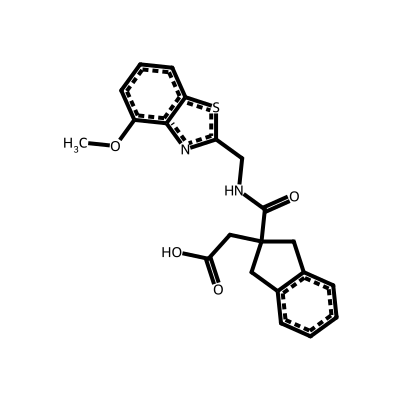 COc1cccc2sc(CNC(=O)C3(CC(=O)O)Cc4ccccc4C3)nc12